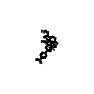 COC(=O)C1=COC(=O)[C@H]2[C@@H]1[C@H](O)[C@H](OC(=O)c1ccc([N+](=O)[O-])cc1)[C@]2(C)O